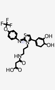 O=C(O)CC(=O)NCCCn1c(C2=CCC(O)C(O)=C2)cs/c1=N\c1ccc(OC(F)(F)F)cc1